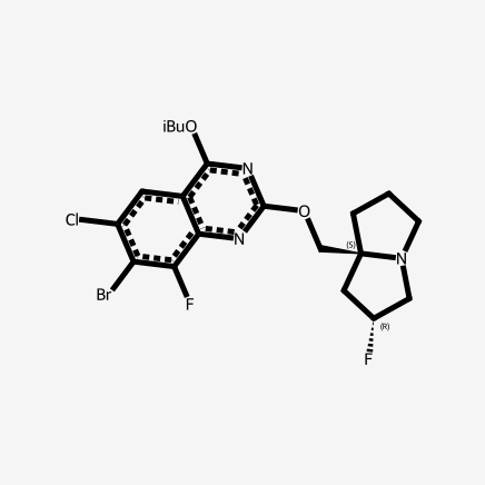 CC(C)COc1nc(OC[C@@]23CCCN2C[C@H](F)C3)nc2c(F)c(Br)c(Cl)cc12